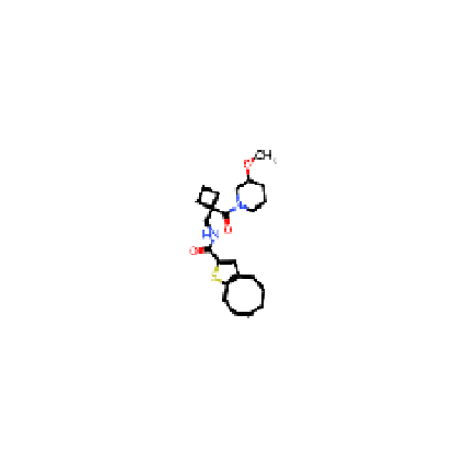 COC1CCCN(C(=O)C2(CNC(=O)c3cc4c(s3)CCCCCC4)CCC2)C1